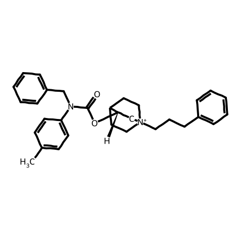 Cc1ccc(N(Cc2ccccc2)C(=O)O[C@H]2C[N+]3(CCCc4ccccc4)CCC2CC3)cc1